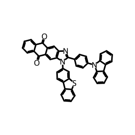 O=C1c2ccccc2C(=O)c2cc3c(cc21)nc(-c1ccc(-n2c4ccccc4c4ccccc42)cc1)n3-c1ccc2c(c1)sc1ccccc12